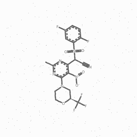 Cc1nc(C(C#N)S(=O)(=O)c2cc(F)ccc2F)c([N+](=O)[O-])c(N2CCO[C@H](C(F)(F)F)C2)n1